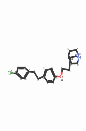 Clc1ccc(CCc2ccc(OCCC3CN4CCC3CC4)cc2)cc1